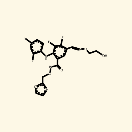 O=C(NOCc1ncco1)c1cc(C=NOCCO)c(F)c(F)c1Nc1ccc(I)cc1F